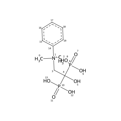 C[N+](C)(CC(O)(P(=O)(O)O)P(=O)(O)O)c1ccccc1